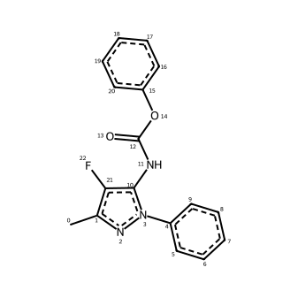 Cc1nn(-c2ccccc2)c(NC(=O)Oc2ccccc2)c1F